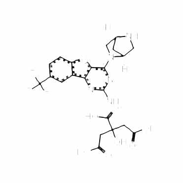 Nc1nc(N2C[C@@H]3C[C@H]2CN3)c2oc3ccc(C(F)(F)F)cc3c2n1.O=C(O)CC(O)(CC(=O)O)C(=O)O